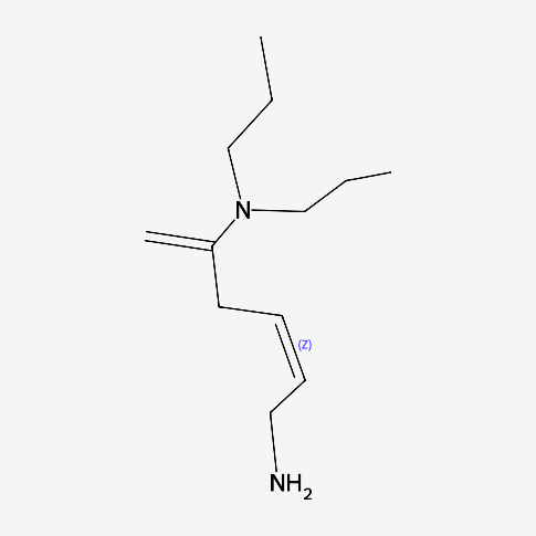 C=C(C/C=C\CN)N(CCC)CCC